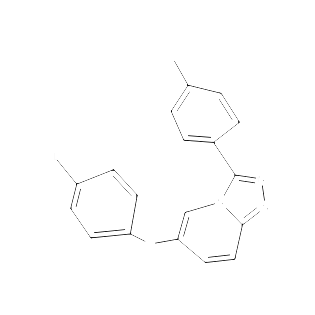 Clc1ccc(Sc2ccc3nnc(-c4ccc(Cl)cc4)n3c2)cc1